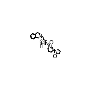 O=C(NC[C@H](O)CN1CCc2ccccc2C1)N1CCC[C@@H](N2CCCC2=O)C1